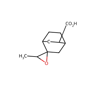 CC1OC12CC1CCC2CC1C(=O)O